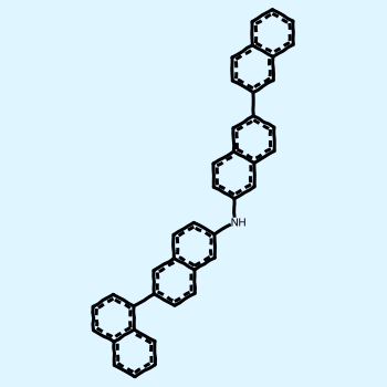 c1ccc2cc(-c3ccc4cc(Nc5ccc6cc(-c7cccc8ccccc78)ccc6c5)ccc4c3)ccc2c1